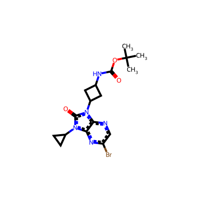 CC(C)(C)OC(=O)NC1CC(n2c(=O)n(C3CC3)c3nc(Br)cnc32)C1